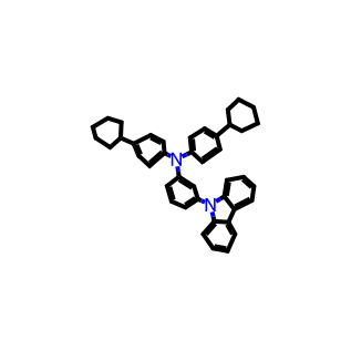 c1cc(N(c2ccc(C3CCCCC3)cc2)c2ccc(C3CCCCC3)cc2)cc(-n2c3ccccc3c3ccccc32)c1